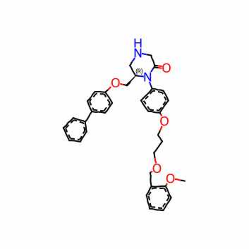 COc1ccccc1COCCCOc1ccc(N2C(=O)CNC[C@@H]2COc2ccc(-c3ccccc3)cc2)cc1